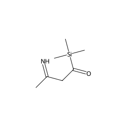 CC(=N)CC(=O)[Si](C)(C)C